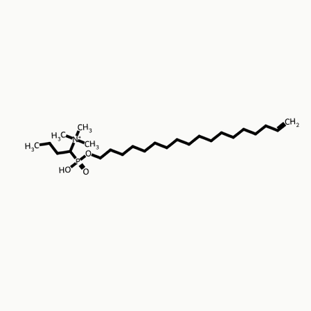 C=CCCCCCCCCCCCCCCCCOP(=O)(O)C(CCC)[N+](C)(C)C